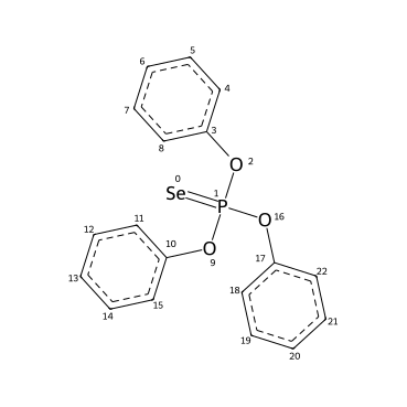 [Se]=P(Oc1ccccc1)(Oc1ccccc1)Oc1ccccc1